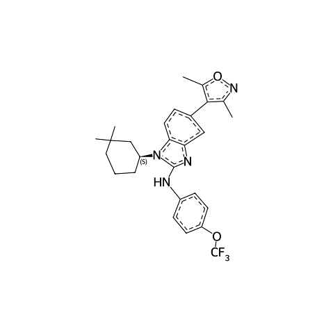 Cc1noc(C)c1-c1ccc2c(c1)nc(Nc1ccc(OC(F)(F)F)cc1)n2[C@H]1CCCC(C)(C)C1